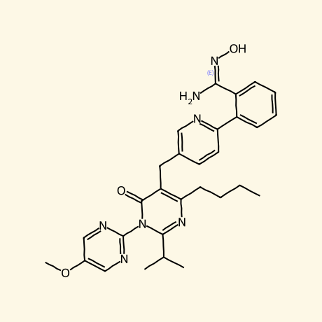 CCCCc1nc(C(C)C)n(-c2ncc(OC)cn2)c(=O)c1Cc1ccc(-c2ccccc2/C(N)=N\O)nc1